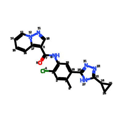 Cc1cc(Cl)c(NC(=O)c2cnn3ccccc23)cc1-c1nnc(C2CC2)[nH]1